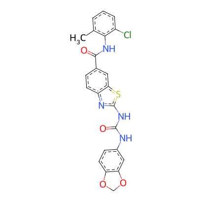 Cc1cccc(Cl)c1NC(=O)c1ccc2nc(NC(=O)Nc3ccc4c(c3)OCO4)sc2c1